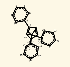 CC1[C]=C2C(c3ccccc3)=C1C2(c1ccccc1)c1ccccc1